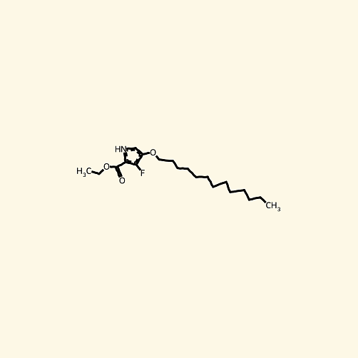 CCCCCCCCCCCCCOc1c[nH]c(C(=O)OCC)c1F